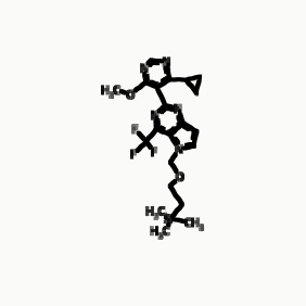 COc1ncnc(C2CC2)c1-c1nc(C(F)(F)F)c2c(ccn2COCC[Si](C)(C)C)n1